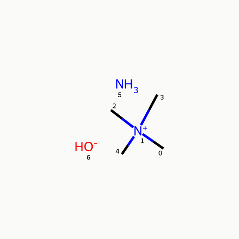 C[N+](C)(C)C.N.[OH-]